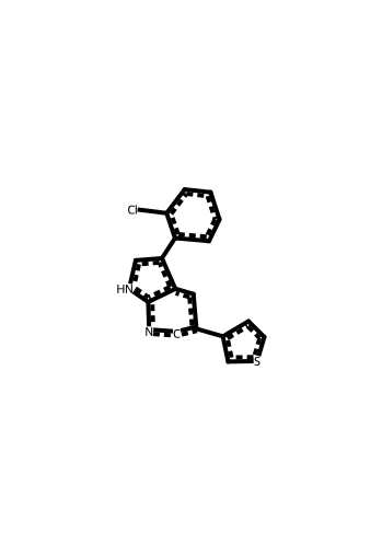 Clc1ccccc1-c1c[nH]c2ncc(-c3ccsc3)cc12